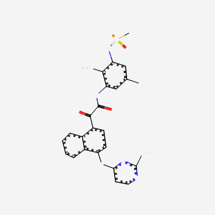 CNc1nccc([AsH]c2ccc(C(=O)C(=O)Nc3cc(C(C)(C)C)cc(NS(C)(=O)=O)c3OC)c3ccccc23)n1